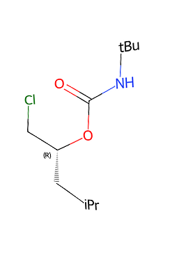 CC(C)C[C@H](CCl)OC(=O)NC(C)(C)C